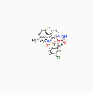 Cc1ccc(F)c([C@@H](C)[C@H](NS(=O)(=O)c2ccc(Cl)cc2C(=O)O)c2n[nH]c(=O)o2)c1C